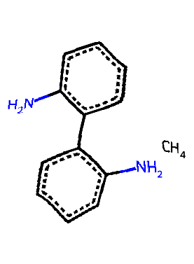 C.Nc1ccccc1-c1ccccc1N